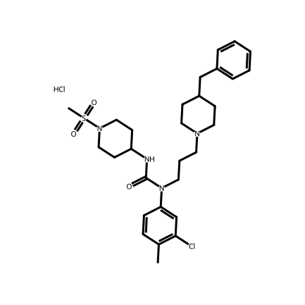 Cc1ccc(N(CCCN2CCC(Cc3ccccc3)CC2)C(=O)NC2CCN(S(C)(=O)=O)CC2)cc1Cl.Cl